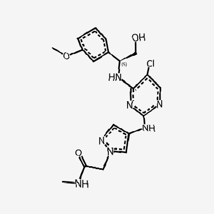 CNC(=O)Cn1cc(Nc2ncc(Cl)c(N[C@H](CO)c3cccc(OC)c3)n2)cn1